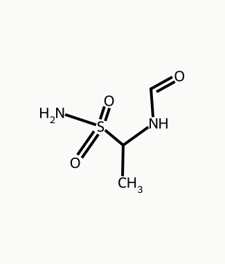 CC(NC=O)S(N)(=O)=O